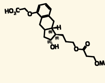 COCCC(=O)OCCC[C@H]1[C@H](O)CC2Cc3c(cccc3OCC(=O)O)C[C@@H]21